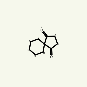 O=C1CCC(=O)C12CCCCC2